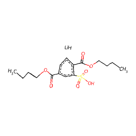 CCCCOC(=O)c1ccc(C(=O)OCCCC)c(S(=O)(=O)O)c1.[LiH]